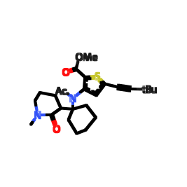 COC(=O)c1sc(C#CC(C)(C)C)cc1N(C(C)=O)C1(C2CCCN(C)C2=O)CCCCC1